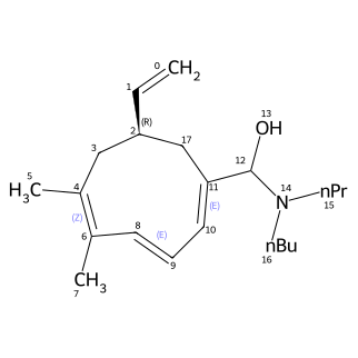 C=C[C@@H]1C\C(C)=C(C)/C=C/C=C(/C(O)N(CCC)CCCC)C1